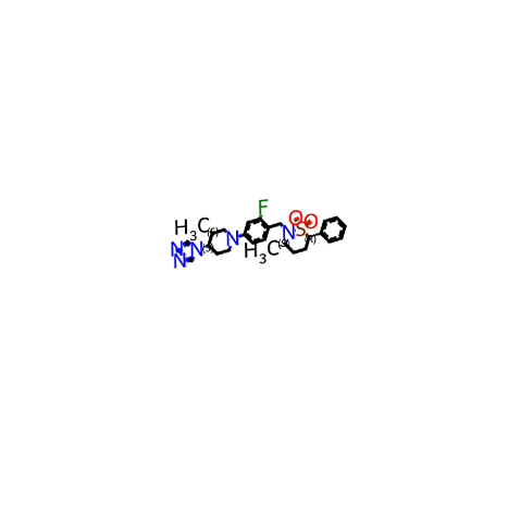 C[C@H]1CN(c2ccc(CN3[C@@H](C)CC[C@H](c4ccccc4)S3(=O)=O)c(F)c2)CC[C@@H]1n1cnnc1